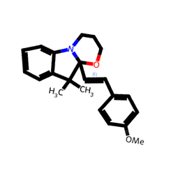 COc1ccc(/C=C/C23OCCCN2c2ccccc2C3(C)C)cc1